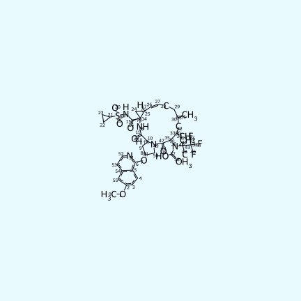 COc1ccc2c(O[C@@H]3C[C@H]4C(=O)N[C@]5(C(=O)NS(=O)(=O)C6CC6)C[C@H]5C=CCC[C@@H](C)C[C@@H](C)[C@H](N(C(=O)O)C(C)(C)C(F)(F)F)C(=O)N4C3)nccc2c1